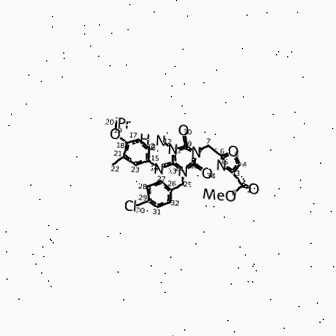 COC(=O)c1coc(Cn2c(=O)n(N)/c(=N\c3ccc(OC(C)C)c(C)c3)n(Cc3ccc(Cl)cc3)c2=O)n1